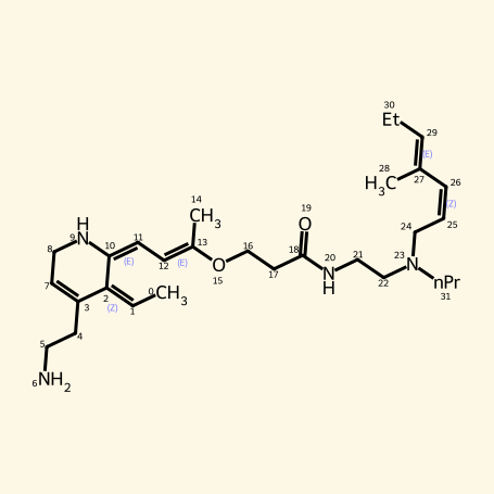 C/C=C1/C(CCN)=CCN/C1=C/C=C(\C)OCCC(=O)NCCN(C/C=C\C(C)=C\CC)CCC